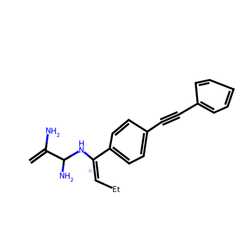 C=C(N)C(N)N/C(=C/CC)c1ccc(C#Cc2ccccc2)cc1